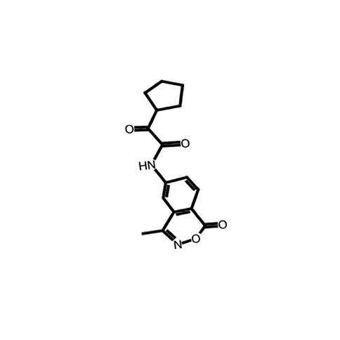 Cc1noc(=O)c2ccc(NC(=O)C(=O)C3CCCC3)cc12